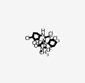 Cc1c(Cl)ccc(NC(C(Cl)C(Cl)(Cl)Cl)N2C3C(=O)N(C)C(=O)[N+]32c2ccccc2F)c1Cl